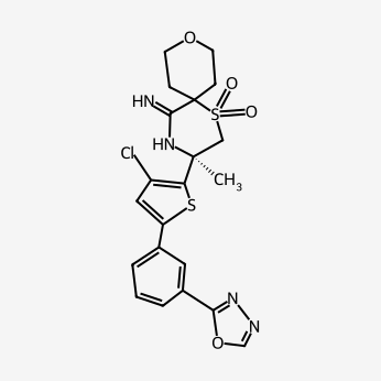 C[C@@]1(c2sc(-c3cccc(-c4nnco4)c3)cc2Cl)CS(=O)(=O)C2(CCOCC2)C(=N)N1